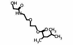 CC(C)CC(C)C(=O)OCCOCCNC(=O)CO